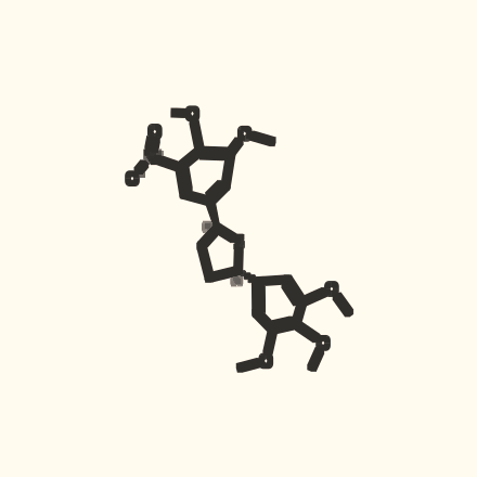 COc1cc([C@@H]2CC[C@@H](c3cc(OC)c(OC)c([N+](=O)[O-])c3)S2)cc(OC)c1OC